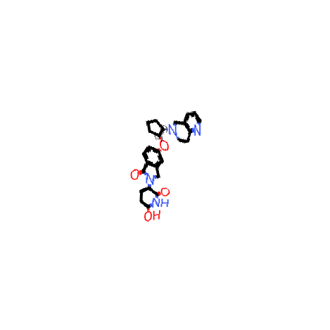 O=C1NC(O)CCC1N1Cc2cc(O[C@H]3CCC[C@@H]3N3CCc4ncccc4C3)ccc2C1=O